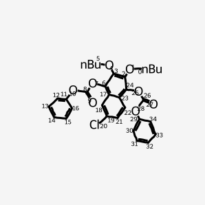 CCCCOc1c(OCCCC)c(OC(=O)Oc2ccccc2)c2cc(Cl)ccc2c1OC(=O)Oc1ccccc1